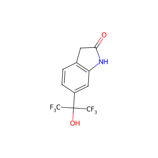 O=C1Cc2ccc(C(O)(C(F)(F)F)C(F)(F)F)cc2N1